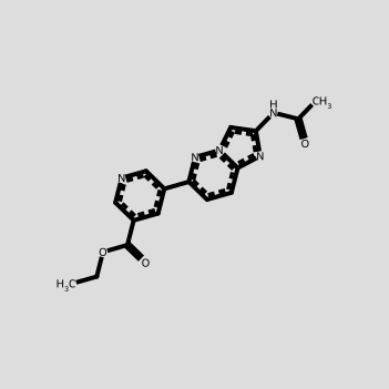 CCOC(=O)c1cncc(-c2ccc3nc(NC(C)=O)cn3n2)c1